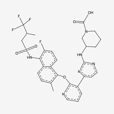 Cc1ccc2c(NS(=O)(=O)CC(C)C(F)(F)F)c(F)ccc2c1Oc1ncccc1-c1ccnc(NC2CCCN(C(=O)O)C2)n1